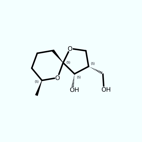 C[C@H]1CCC[C@]2(OC[C@H](CO)[C@@H]2O)O1